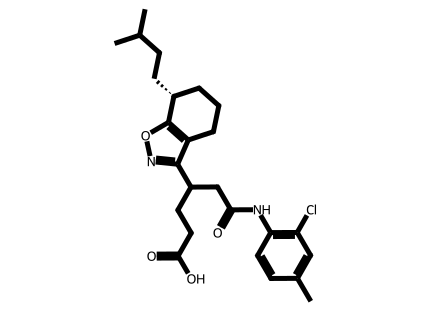 Cc1ccc(NC(=O)CC(CCC(=O)O)c2noc3c2CCC[C@H]3CCC(C)C)c(Cl)c1